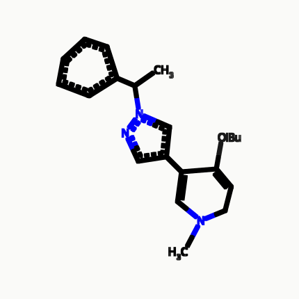 CC(C)COC1=CCN(C)C=C1c1cnn(C(C)c2ccccc2)c1